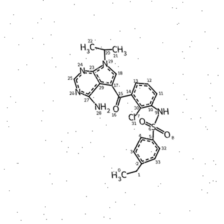 CCc1ccc(S(=O)(=O)Nc2cccc(C(=O)c3cn(C(C)C)c4ncnc(N)c34)c2Cl)cc1